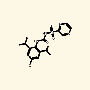 CC(C)c1cc(Cl)cc(C(C)C)c1NC(=O)NS(=O)(=O)c1cnccn1